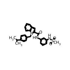 CC(C)c1ccc(Cn2c(C(=O)Nc3cccc(NS(C)(=O)=O)c3)cc3ccccc32)cc1